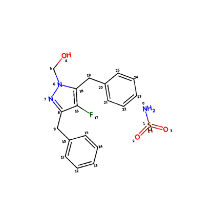 N[SH](=O)=O.OCn1nc(Cc2ccccc2)c(F)c1Cc1ccccc1